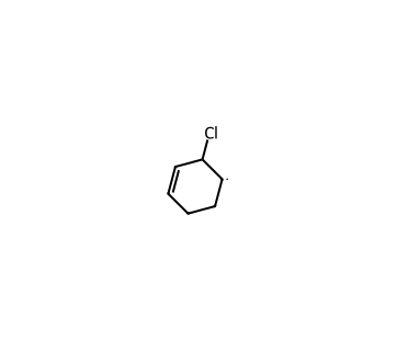 ClC1[CH]CCC=C1